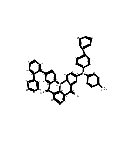 CC(C)(C)c1ccc(N(c2ccc(-c3ccccc3)cc2)c2ccc3c(c2)c(=O)c2cccc4c(=O)c5cc(-c6ccccc6-c6ccccc6)ccc5n3c42)cc1